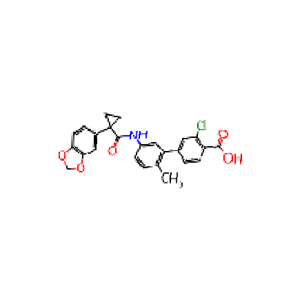 Cc1ccc(NC(=O)C2(c3ccc4c(c3)OCO4)CC2)cc1-c1ccc(C(=O)O)c(Cl)c1